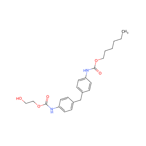 CCCCCCOC(=O)Nc1ccc(Cc2ccc(NC(=O)OCCO)cc2)cc1